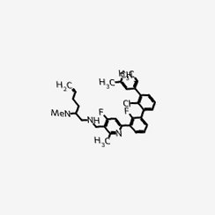 C=CCCC(CNCc1c(F)cc(-c2cccc(-c3cccc(/C(C=C(C)C)=C/C)c3Cl)c2F)nc1C)NC